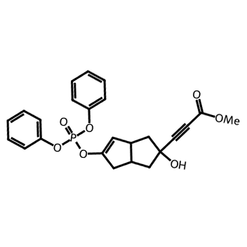 COC(=O)C#CC1(O)CC2C=C(OP(=O)(Oc3ccccc3)Oc3ccccc3)CC2C1